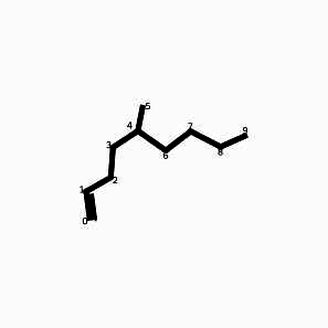 [CH]=CCCC(C)CCCC